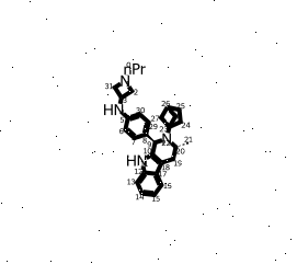 CCCN1CC(Nc2ccc([C@@H]3c4[nH]c5ccccc5c4C[C@@H](C)N3C34CCC(C3)C4)cc2)C1